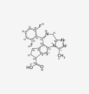 Cc1nnc2n1-c1sc3c(c1C(c1c(F)cccc1F)=NC2)CCC3C(=O)O